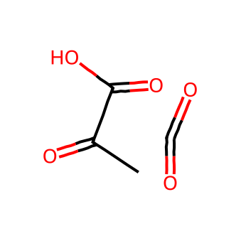 CC(=O)C(=O)O.O=C=O